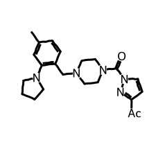 CC(=O)c1ccn(C(=O)N2CCN(Cc3ccc(C)cc3N3CCCC3)CC2)n1